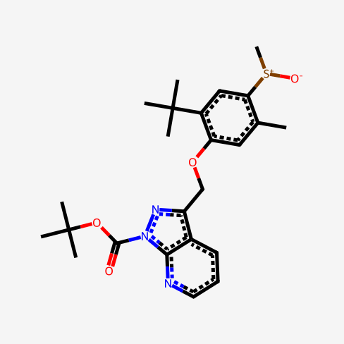 Cc1cc(OCc2nn(C(=O)OC(C)(C)C)c3ncccc23)c(C(C)(C)C)cc1[S+](C)[O-]